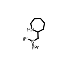 CCCN(CC1CCCCCN1)C(C)C